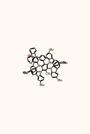 CC(C)(C)c1ccc2c(c1)c1cc(C(C)(C)C)ccc1n2-c1c(C#N)c(-n2c3ccc(C(C)(C)C)cc3c3cc(C(C)(C)C)ccc32)c(-n2c3ccc(C(C)(C)C)cc3c3cc(C(C)(C)C)ccc32)c(-c2cccc(-n3c4ccccc4c4ccncc43)c2)c1-n1c2ccc(C(C)(C)C)cc2c2cc(C(C)(C)C)ccc21